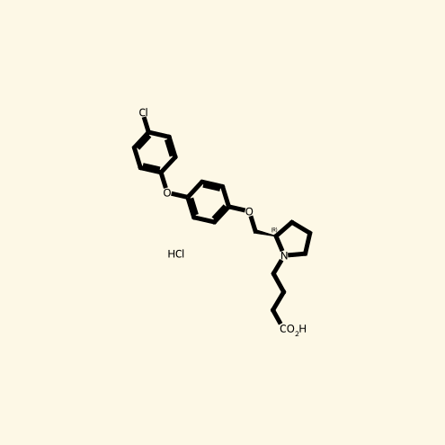 Cl.O=C(O)CCCN1CCC[C@@H]1COc1ccc(Oc2ccc(Cl)cc2)cc1